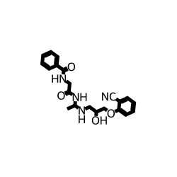 CC(NCC(O)COc1ccccc1C#N)NC(=O)CNC(=O)c1ccccc1